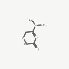 CN(C)C1=NC(=O)NOC1